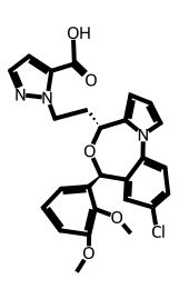 COc1cccc([C@H]2O[C@H](CCn3nccc3C(=O)O)c3cccn3-c3ccc(Cl)cc32)c1OC